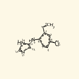 C=Cc1cc(Cl)ccc1Nc1cnc[nH]1